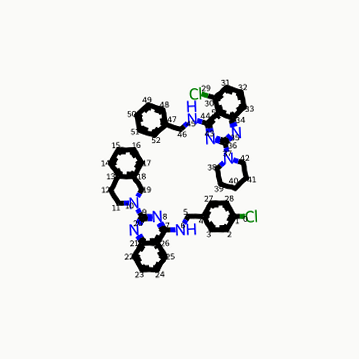 Clc1ccc(CNc2nc(N3CCc4ccccc4C3)nc3ccccc23)cc1.Clc1cccc2nc(N3CCCCC3)nc(NCc3ccccc3)c12